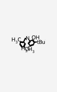 Cc1ccc(C)c(/C=N\c2cc(C)cc(C(C)(C)C)c2O)c1